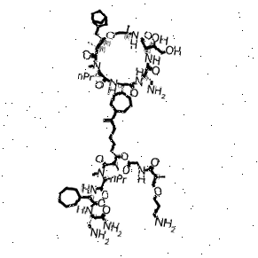 CCC[C@H]1C(=O)N[C@@H](C2CCCC(C(C)CCCC[C@@H](OC(=O)CNC(=O)[C@@H](C)COCCCN)[C@@H](C)C(=O)N(C)[C@@H](CCC)C(=O)N[C@H](C(=O)N[C@@H](CN)C(N)=O)C3CCCCCC3)CC2)C(=O)N[C@@H](CN)C(=O)N[C@@H]([C@@H](O)CO)C(=O)N[C@H](C)CO[C@H](CC2CC3CCC2C3)[C@@H](C)C(=O)N1C